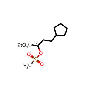 CCOC(=O)[C@@H](CCC1CCCC1)OS(=O)(=O)C(F)(F)F